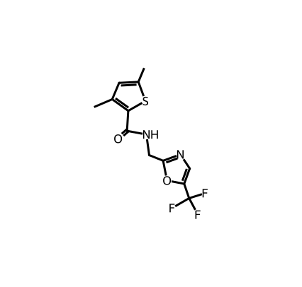 Cc1cc(C)c(C(=O)NCc2ncc(C(F)(F)F)o2)s1